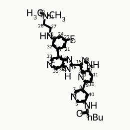 CCCCC(=O)Nc1cncc(-c2ccc3[nH]nc(-c4nc5c(-c6cc(F)cc(NCCN(C)C)c6)cncc5[nH]4)c3n2)c1